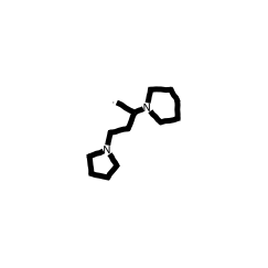 [CH2]C(CCN1CCCC1)N1CCCCC1